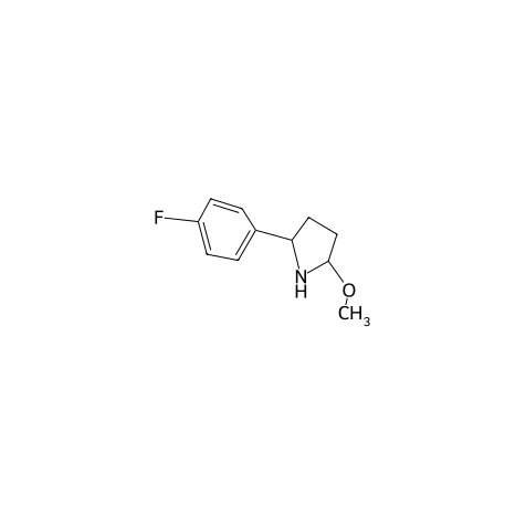 COC1CCC(c2ccc(F)cc2)N1